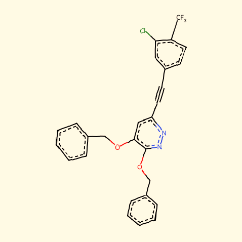 FC(F)(F)c1ccc(C#Cc2cc(OCc3ccccc3)c(OCc3ccccc3)nn2)cc1Cl